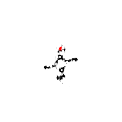 CC(C)(C)C(=O)OCOP1(=O)OC[C@H]2C[C@@H](n3cnc4c(N)ncnc43)C[C@H]2OP(=O)(OCOC(=O)C(C)(C)C)OC[C@H]2O[C@@H](n3cnc4c(N)ncnc43)[C@@H](F)C2O1